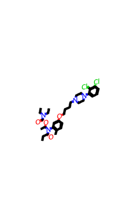 CCC(=O)N(c1cc(OCCCCN2CCN(c3cccc(Cl)c3Cl)CC2)ccc1C)C(C)OC(=O)N(CC)CC